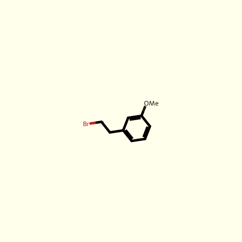 COc1cccc(C[CH]Br)c1